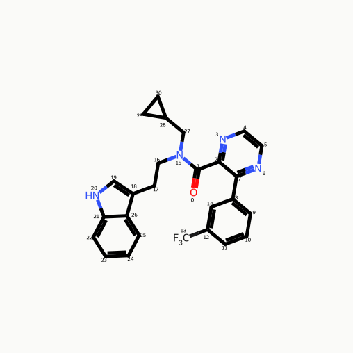 O=C(c1nccnc1-c1cccc(C(F)(F)F)c1)N(CCc1c[nH]c2ccccc12)CC1CC1